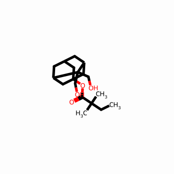 CCC(C)(C)C(=O)OC12CC3CC(C1)C(CO)(CO)C(C3)C2